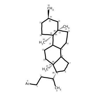 CC(=O)CCC(C)[C@H]1CCC2C3CC[C@]4(C)C[C@H](C)CC[C@]4(C)C3CC[C@@]21C